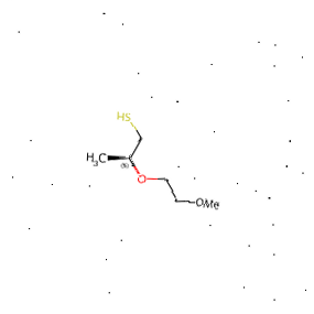 COCCO[C@@H](C)CS